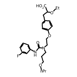 CCCOCCCN(CCOc1ccc(CC(OCC)C(=O)O)cc1)C(=O)Nc1cccc(F)c1